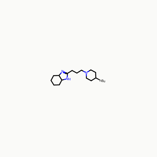 CCCCC1CCN(CCCC2=NC3CCCCC3N2)CC1